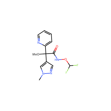 COC(C(=O)NOC(F)F)(c1cnn(C)c1)c1ccccn1